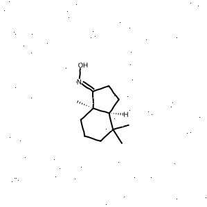 CC1(C)CCC[C@@]2(C)C(=NO)CC[C@@H]12